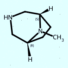 CN1[C@@H]2CC[C@H]1CNC2